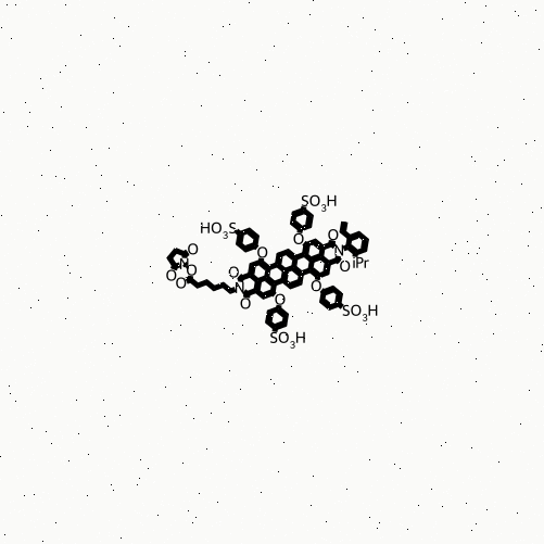 C=Cc1cccc(C(C)C)c1N1C(=O)c2cc(Oc3ccc(S(=O)(=O)O)cc3)c3c4ccc5c6c(Oc7ccc(S(=O)(=O)O)cc7)cc7c8c(cc(Oc9ccc(S(=O)(=O)O)cc9)c(c9ccc(c%10c(Oc%11ccc(S(=O)(=O)O)cc%11)cc(c2c3%10)C1=O)c4c59)c86)C(=O)N(CCCCCC(=O)ON1C(=O)CCC1=O)C7=O